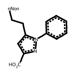 CCCCCCCCCCCc1cc(C(=O)O)nn1-c1ccccc1